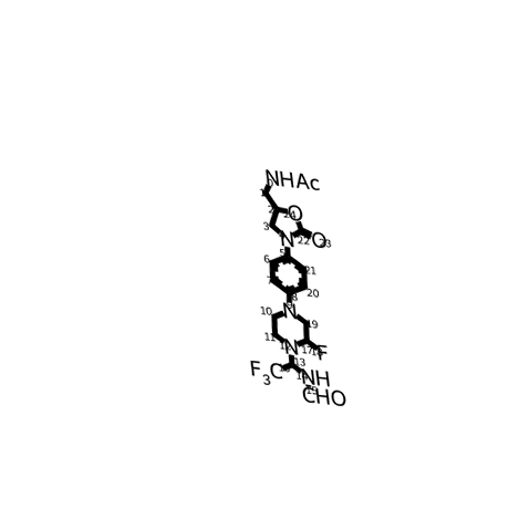 CC(=O)NCC1CN(c2ccc(N3CCN(C(NC=O)C(F)(F)F)C(F)C3)cc2)C(=O)O1